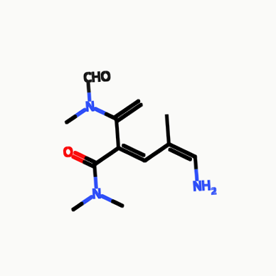 C=C(/C(=C\C(C)=C/N)C(=O)N(C)C)N(C)C=O